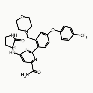 NC(=O)c1cc(N[C@H]2CCNC2=O)nc(-c2ccc(Oc3ccc(C(F)(F)F)cc3)cc2CN2CCOCC2)n1